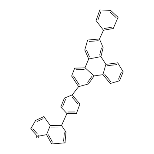 c1ccc(-c2ccc3c4ccc(-c5ccc(-c6cccc7ncccc67)cc5)cc4c4ccccc4c3c2)cc1